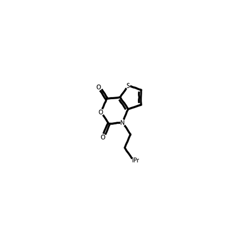 CC(C)CCn1c(=O)oc(=O)c2sccc21